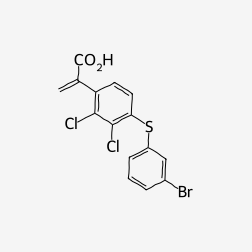 C=C(C(=O)O)c1ccc(Sc2cccc(Br)c2)c(Cl)c1Cl